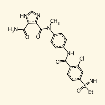 CCS(=N)(=O)c1ccc(C(=O)Nc2ccc(N(C)C(=O)c3nc[nH]c3C(N)=O)cc2)c(Cl)c1